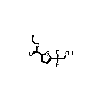 CCOC(=O)c1ccc(C(F)(F)CO)s1